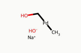 [CH3][Pd][CH2]O.[Na+].[OH-]